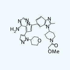 COCC(=O)N1CCC(n2c(C)nc3ccc(-c4cc(-c5ccnn5C5CCOCC5)c5c(N)ncnn45)cc32)CC1